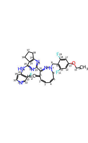 C=C1/C=C\C=C/CN(Cc2c(F)cc(OCC)cc2F)/N=C\1c1nc2c(c(Nc3ccncc3F)n1)CCC2